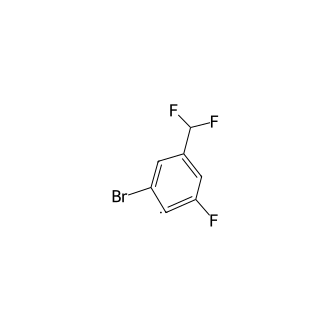 Fc1[c]c(Br)cc(C(F)F)c1